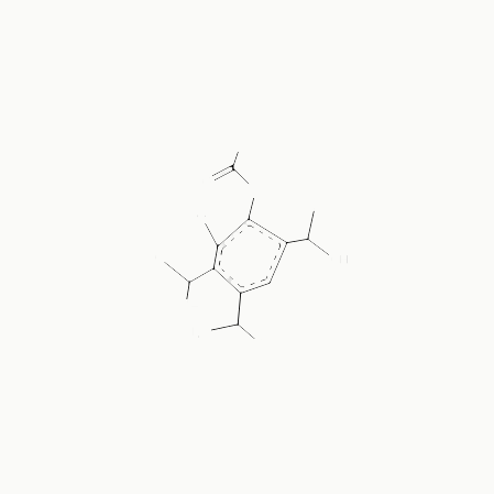 CC(C)c1cc(C(C)C)c(C(C)C)c(O)c1OC(=O)O